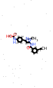 C#Cc1cccc(C(=O)Nc2cc(-c3ccc(NC(=O)O)cc3)nn2C)c1